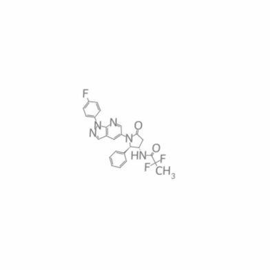 CC(F)(F)C(=O)N[C@H]1CC(=O)N(c2cnc3c(cnn3-c3ccc(F)cc3)c2)[C@@H]1c1ccccc1